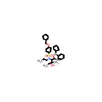 C=CCN(C(C(O[SiH](c1ccccc1)c1ccccc1)C(C)(C)C)C(C)(O)C=C)S(=O)(=O)c1ccc(OCc2ccccc2)cc1